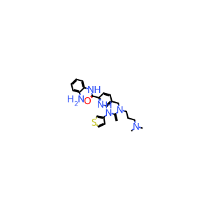 C=C(Nc1ccsc1)N(CCCN(C)C)Cc1ccc(C(=O)Nc2ccccc2N)nc1